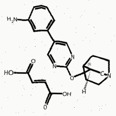 Nc1cccc(-c2cnc(O[C@@H]3CN4CCC3CC4)nc2)c1.O=C(O)C=CC(=O)O